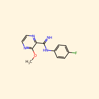 COc1nccnc1C(=N)Nc1ccc(F)cc1